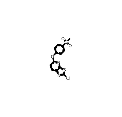 CS(=O)(=O)c1ccc(Oc2ccc3nc(Cl)sc3n2)cc1